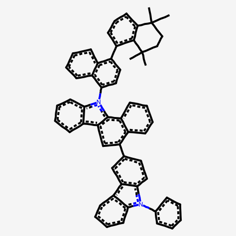 CC1(C)CCC(C)(C)c2c(-c3ccc(-n4c5ccccc5c5cc(-c6ccc7c(c6)c6ccccc6n7-c6ccccc6)c6ccccc6c54)c4ccccc34)cccc21